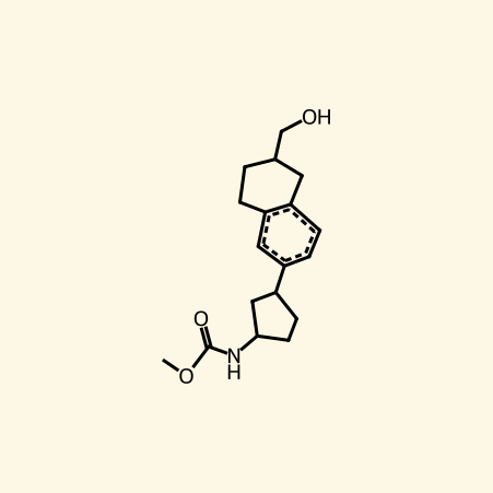 COC(=O)NC1CCC(c2ccc3c(c2)CCC(CO)C3)C1